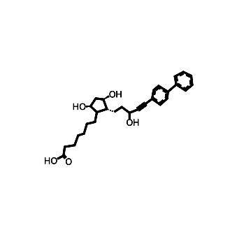 O=C(O)CCCCCCC1[C@@H](CCC(O)C#Cc2ccc(-c3ccccc3)cc2)[C@H](O)C[C@@H]1O